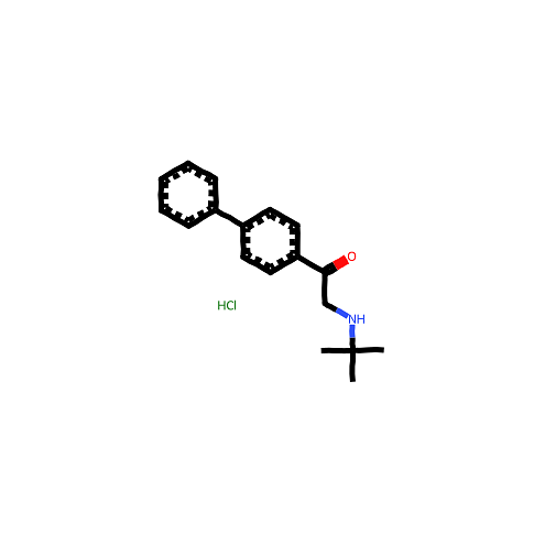 CC(C)(C)NCC(=O)c1ccc(-c2ccccc2)cc1.Cl